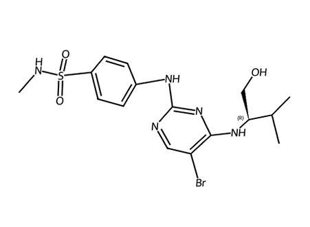 CNS(=O)(=O)c1ccc(Nc2ncc(Br)c(N[C@@H](CO)C(C)C)n2)cc1